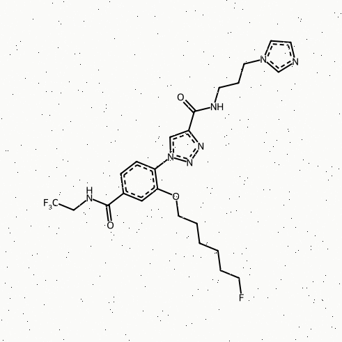 O=C(NCC(F)(F)F)c1ccc(-n2cc(C(=O)NCCCn3ccnc3)nn2)c(OCCCCCCF)c1